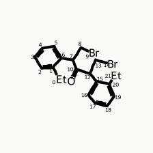 CCc1ccccc1C(CBr)C(=O)C(CBr)c1ccccc1CC